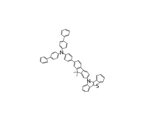 CC1(C)c2cc(-c3ccc(N(c4ccc(-c5ccccc5)cc4)c4ccc(-c5ccccc5)cc4)cc3)ccc2-c2ccc(-n3c4ccccc4c4sc5ccccc5c43)cc21